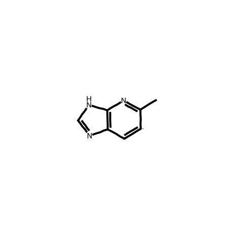 Cc1[c]cc2nc[nH]c2n1